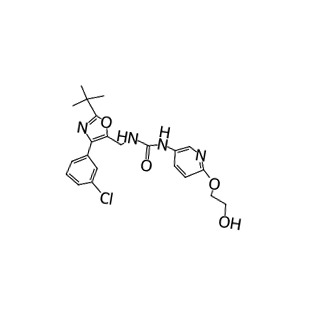 CC(C)(C)c1nc(-c2cccc(Cl)c2)c(CNC(=O)Nc2ccc(OCCO)nc2)o1